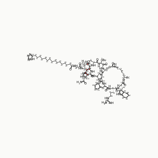 CCCC[C@H](NC(=O)[C@H](CO)NC(=O)[C@H](Cc1c[nH]cn1)NC(=O)[C@H](CCC(N)=O)NC(=O)[C@@H](NC(=O)CNC(=O)CCCCCCCCCCCCCCCc1nnn[nH]1)[C@@H](C)O)C(=O)N[C@H]1CCC(=O)NCCCC[C@@H](C(C)=O)NC(=O)[C@H](Cc2c[nH]c3ccccc23)NC(=O)[C@H](CCCNC(=N)N)NC(=O)[C@@H](Cc2ccccc2)NC(=O)[C@@H]2C[C@@H](O)CN2C1=O